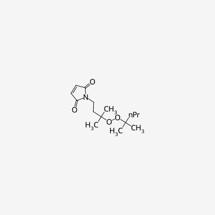 CCCC(C)(C)OOC(C)(C)CCN1C(=O)C=CC1=O